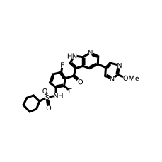 COc1ncc(-c2cnc3[nH]cc(C(=O)c4c(F)ccc(NS(=O)(=O)C5CCCCC5)c4F)c3c2)cn1